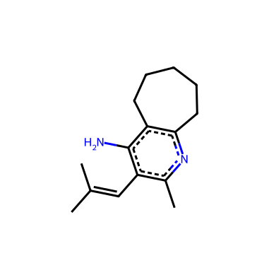 CC(C)=Cc1c(C)nc2c(c1N)CCCCC2